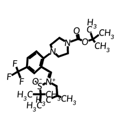 CC(C)C[N+](=Cc1cc(C(F)(F)F)ccc1N1CCN(C(=O)OC(C)(C)C)CC1)[S@@+]([O-])C(C)(C)C